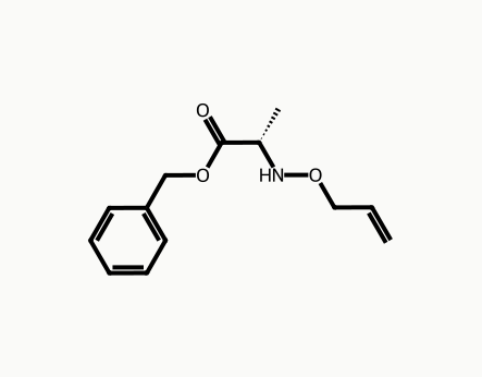 C=CCON[C@@H](C)C(=O)OCc1ccccc1